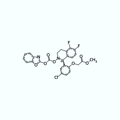 COC(=O)COc1ccc(Cl)cc1[C@@H]1c2ccc(F)c(F)c2CCN1OC(=O)Oc1nc2ccccc2o1